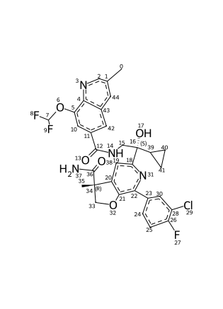 Cc1cnc2c(OC(F)F)cc(C(=O)NC[C@](O)(c3cc4c(c(-c5ccc(F)c(Cl)c5)n3)OC[C@]4(C)C(N)=O)C3CC3)cc2c1